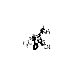 CCn1cc(-c2ccccc2[C@@H]2CN(C(=O)/C=C/[C@H]3C[C@@H](C)CN3)Cc3sc(C#N)cc32)c(C(F)(F)F)n1